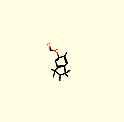 Cc1cc2c(cc1OC=O)C(C)(C)C(C)C2(C)C